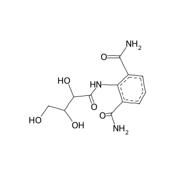 NC(=O)c1cccc(C(N)=O)c1NC(=O)C(O)C(O)CO